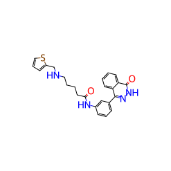 O=C(CCCCNCc1cccs1)Nc1cccc(-c2n[nH]c(=O)c3ccccc23)c1